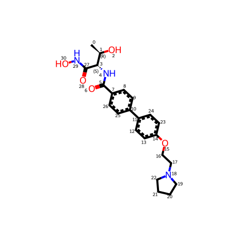 C[C@@H](O)[C@H](NC(=O)c1ccc(-c2ccc(OCCN3CCCC3)cc2)cc1)C(=O)NO